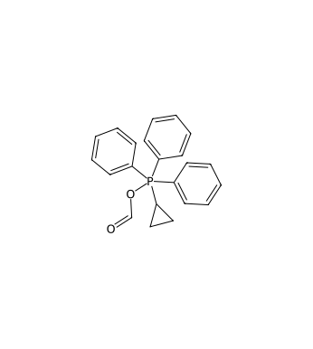 O=COP(c1ccccc1)(c1ccccc1)(c1ccccc1)C1CC1